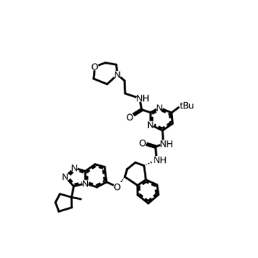 CC(C)(C)c1cc(NC(=O)N[C@H]2CC[C@@H](Oc3ccc4nnc(C5(C)CCCC5)n4c3)c3ccccc32)nc(C(=O)NCCN2CCOCC2)n1